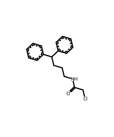 O=C(CCl)NCCCC(c1ccccc1)c1ccccc1